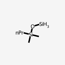 CCC[Si](C)(C)O[SiH3]